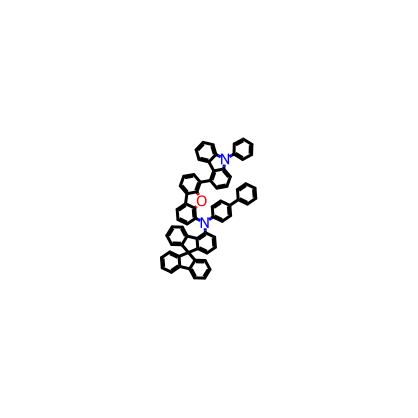 c1ccc(-c2ccc(N(c3cccc4c3-c3ccccc3C43c4ccccc4-c4ccccc43)c3cccc4c3oc3c(-c5cccc6c5c5ccccc5n6-c5ccccc5)cccc34)cc2)cc1